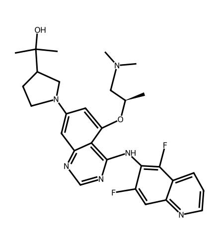 C[C@H](CN(C)C)Oc1cc(N2CCC(C(C)(C)O)C2)cc2ncnc(Nc3c(F)cc4ncccc4c3F)c12